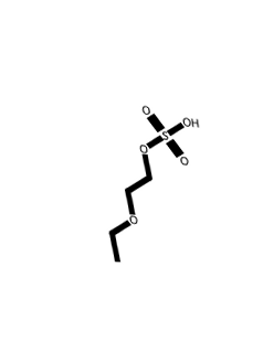 CCOCCOS(=O)(=O)O